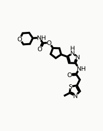 Cc1ncc(CC(=O)Nc2cc(C3CCC(OC(=O)NC4CCOCC4)C3)[nH]n2)s1